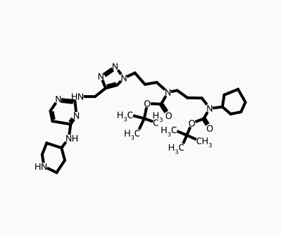 CC(C)(C)OC(=O)N(CCCN(C(=O)OC(C)(C)C)C1CCCCC1)CCCn1cc(CNc2nccc(NC3CCNCC3)n2)nn1